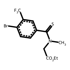 CCOC(=O)CN(C)C(=S)c1ccc(Br)c(C(F)(F)F)c1